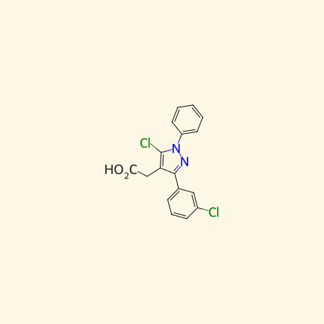 O=C(O)Cc1c(-c2cccc(Cl)c2)nn(-c2ccccc2)c1Cl